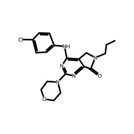 CCCN1Cc2c(Nc3ccc(Cl)cc3)nc(N3CCOCC3)nc2C1=O